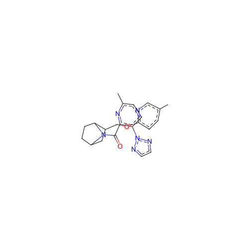 Cc1ccc(OCC2CC3CCC2N3C(=O)c2nc(C)ccc2-n2nccn2)nc1